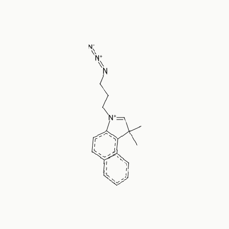 CC1(C)C=[N+](CCCN=[N+]=[N-])c2ccc3ccccc3c21